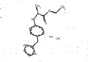 CCOC(=O)[C@H](C)Nc1ccc(Cc2ncc[nH]2)cc1.Cl.Cl